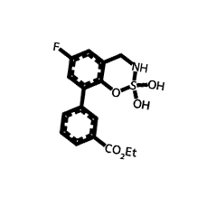 CCOC(=O)c1cccc(-c2cc(F)cc3c2OS(O)(O)NC3)c1